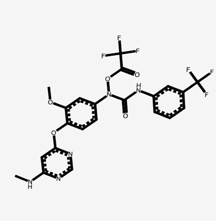 CNc1cc(Oc2ccc(N(OC(=O)C(F)(F)F)C(=O)Nc3cccc(C(F)(F)F)c3)cc2OC)ncn1